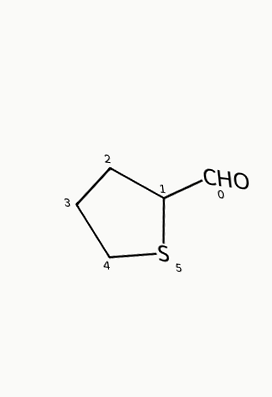 O=CC1CCCS1